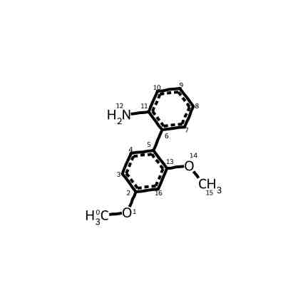 COc1ccc(-c2ccccc2N)c(OC)c1